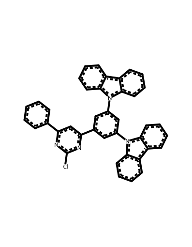 Clc1nc(-c2ccccc2)cc(-c2cc(-n3c4ccccc4c4ccccc43)cc(-n3c4ccccc4c4ccccc43)c2)n1